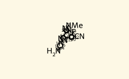 CNc1ncc(-c2cnc(N3CCC(N)CC3)nc2-c2ccc(C#N)c(F)c2)cn1